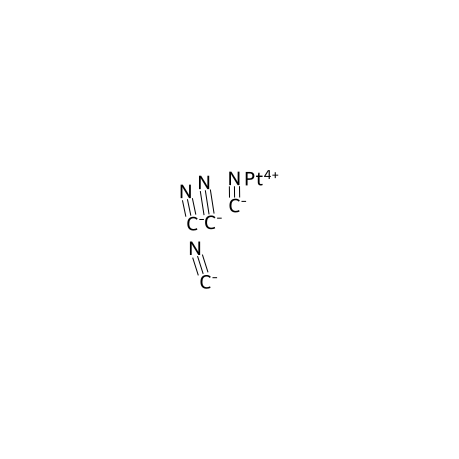 [C-]#N.[C-]#N.[C-]#N.[C-]#N.[Pt+4]